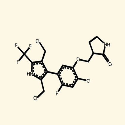 O=C1NCCC1COc1cc(-c2c(CCl)[nH]c(C(F)(F)F)c2CCl)c(F)cc1Cl